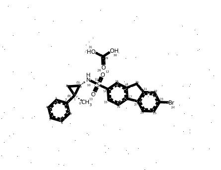 C[C@]1(c2ccccc2)C[C@@H]1NS(=O)(=O)c1ccc2c(c1)Cc1cc(Br)ccc1-2.O=C(O)O